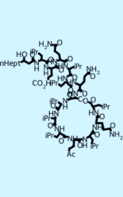 CCCCCCCC(O)CC(=O)NC(CC(C)C)C(=O)NC(CCC(=O)O)C(=O)NC(CCC(N)=O)C(=O)NC(C(=O)NC(CC(C)C)C(=O)NC(CCC(N)=O)C(=O)NC1COC(=O)C(CC(C)C)NC(=O)C(CCC(N)=O)NC(=O)C(CC(C)C)NC(=O)C(CCC(C)=O)NC(=O)C(CC(C)C)NC(=O)C(C(C)C)NC(=O)C(C(C)C)NC1=O)C(C)C